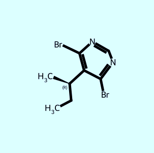 CC[C@@H](C)c1c(Br)ncnc1Br